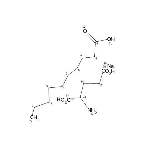 CCCCCCCCCC(=O)O.N[C@@H](CCC(=O)O)C(=O)O.[Na]